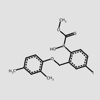 COC(=S)N(O)c1ccc(I)cc1COc1ccc(C)cc1C